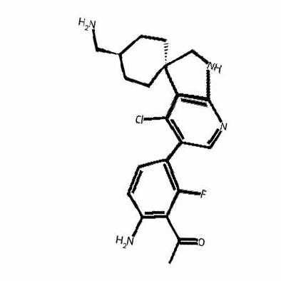 CC(=O)c1c(N)ccc(-c2cnc3c(c2Cl)[C@]2(CC[C@H](CN)CC2)CN3)c1F